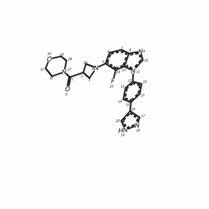 O=C(C1CN(c2ccc3ncn(-c4ccc(-c5cn[nH]c5)cc4)c3c2F)C1)N1CCOCC1